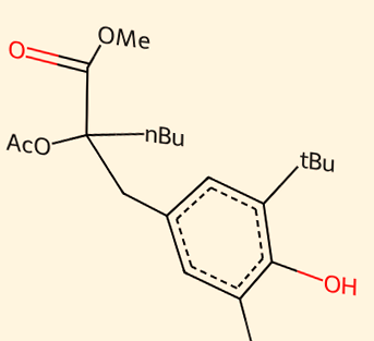 CCCCC(Cc1cc(C(C)(C)C)c(O)c(C(C)(C)C)c1)(OC(C)=O)C(=O)OC